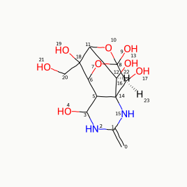 C=C1NC(O)C2C3OC4(O)OC([C@@H](O)C2(N1)[C@@H]4O)C3(O)CO